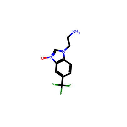 NCCn1c[n+]([O-])c2cc(C(F)(F)F)ccc21